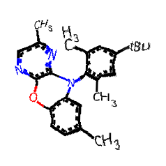 Cc1ccc2c(c1)N(c1c(C)cc(C(C)(C)C)cc1C)c1nc(C)cnc1O2